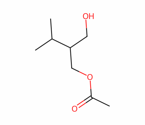 CC(=O)OCC(CO)C(C)C